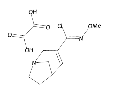 CON=C(Cl)C1=CC2CCN(C1)C2.O=C(O)C(=O)O